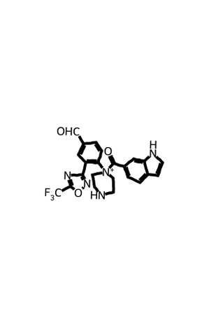 O=Cc1ccc([N+]2(C(=O)c3ccc4cc[nH]c4c3)CCNCC2)c(-c2noc(C(F)(F)F)n2)c1